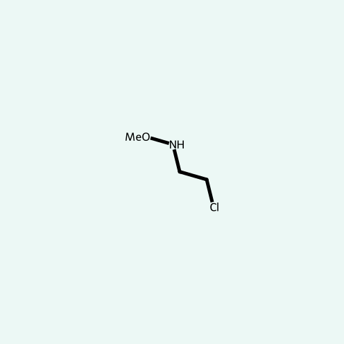 CONCCCl